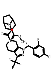 COC(=O)C1CC2CCC(C1)N2CC(=O)N1CCc2c(C(F)(F)F)nn(Cc3ccc(Cl)cc3F)c2C1